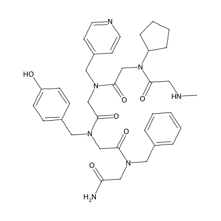 CNCC(=O)N(CC(=O)N(CC(=O)N(CC(=O)N(CC(N)=O)Cc1ccccc1)Cc1ccc(O)cc1)Cc1ccncc1)C1CCCC1